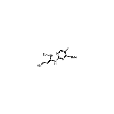 CCN/C(=C\C=N)Nc1ncc(F)c(NC)n1